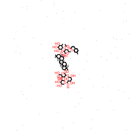 CC(=O)OC1C(OC(=O)/C=C\c2ccc(C)cc2)C(C)OC(OC(=O)[C@]23CCC(C)(C)C[C@H]2C2C=C[C@@H]4[C@@]5(C)CC[C@H](OC6OC(C(=O)O)C(O)C(OC7OCC(O)C(O)C7O)C6OC6OC(CO)C(O)CC6O)[C@@](C)(C=O)[C@@H]5CC[C@@]4(C)[C@]2(C)C[C@H]3O)C1OC1CC(C)C(O)C(O)C1O